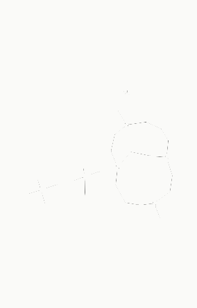 CN1CCCN2CCN(C)CCCN(CC1)CC2.F[B-](F)(F)F.F[B-](F)(F)F.[Mn+2]